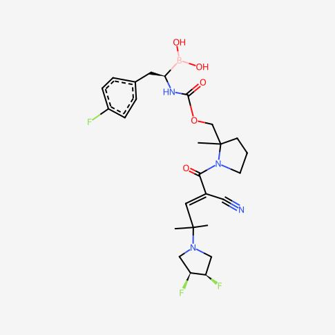 CC(C)(C=C(C#N)C(=O)N1CCCC1(C)COC(=O)N[C@@H](Cc1ccc(F)cc1)B(O)O)N1C[C@@H](F)[C@@H](F)C1